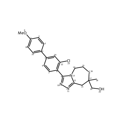 COc1ccc(-c2ccc(-c3nnc4n3CCSC(C)(CO)C4)c(Cl)c2)cc1